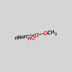 C=COCCCCOCC(O)CCCCCCCCCCCC